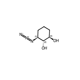 [N-]=[N+]=N[C@H]1CCC[C@@H](O)[C@@H]1O